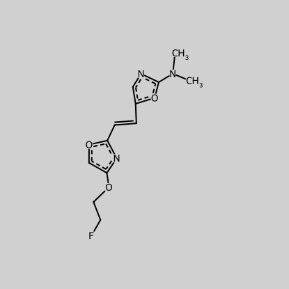 CN(C)c1ncc(C=Cc2nc(OCCF)co2)o1